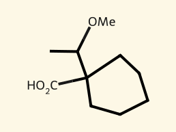 COC(C)C1(C(=O)O)CCCCC1